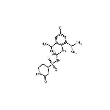 CC(C)c1cc(F)cc(C(C)C)c1NC(=O)NS(=O)(=O)C1CCNC(=O)C1